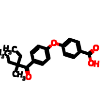 CCC(C)(CC)C(=O)c1ccc(Oc2ccc(C(=O)O)cc2)cc1